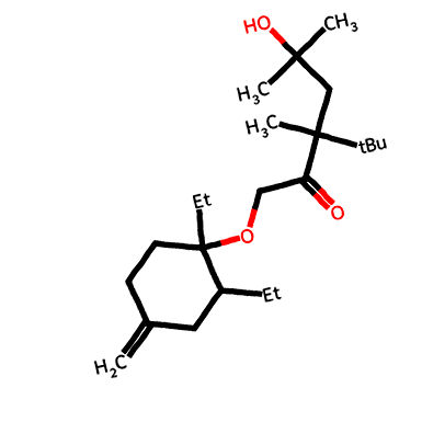 C=C1CCC(CC)(OCC(=O)C(C)(CC(C)(C)O)C(C)(C)C)C(CC)C1